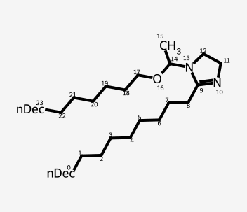 CCCCCCCCCCCCCCCCCCC1=NCCN1C(C)OCCCCCCCCCCCCCCCC